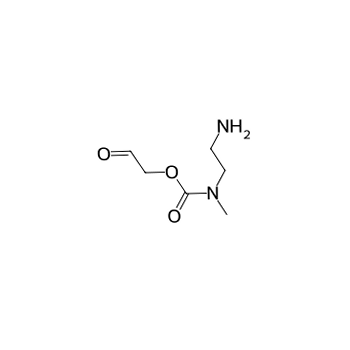 CN(CCN)C(=O)OCC=O